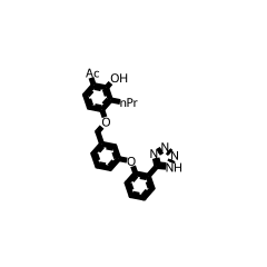 CCCc1c(OCc2cccc(Oc3ccccc3-c3nnn[nH]3)c2)ccc(C(C)=O)c1O